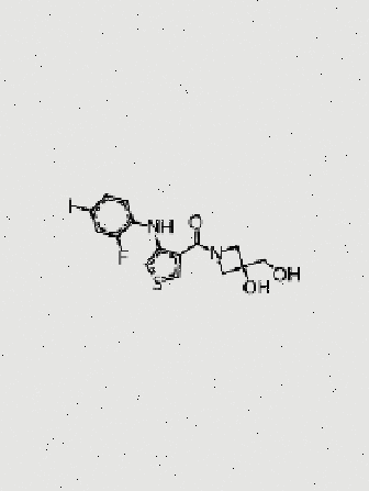 O=C(c1cscc1Nc1ccc(I)cc1F)N1CC(O)(CO)C1